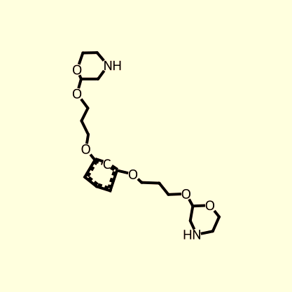 c1cc(OCCCOC2CNCCO2)cc(OCCCOC2CNCCO2)c1